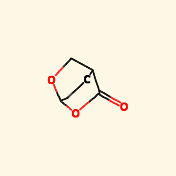 O=C1OC2CCC1CO2